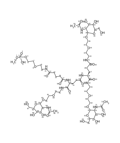 COP(=O)(O)OCCOCCNC(=O)CCCC(=O)N[C@@H](CCC(=O)N[C@@H](CCC(=O)NCCOCCOC1OC(CO)C(O)C(O)C1NC(C)=O)C(=O)NCCOCCOC1OC(CO)C(O)C(O)C1NC(C)=O)C(=O)NCCOCCOC1OC(CO)C(O)C(O)C1NC(C)=O